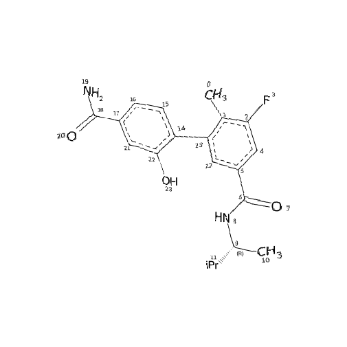 Cc1c(F)cc(C(=O)N[C@H](C)C(C)C)cc1-c1ccc(C(N)=O)cc1O